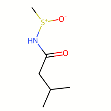 CC(C)CC(=O)N[S+](C)[O-]